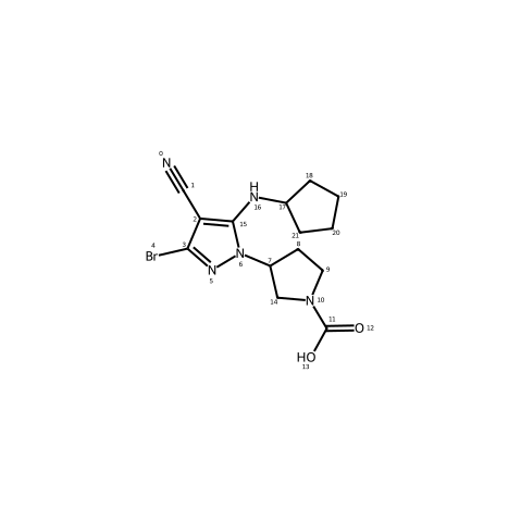 N#Cc1c(Br)nn(C2CCN(C(=O)O)C2)c1NC1CCCC1